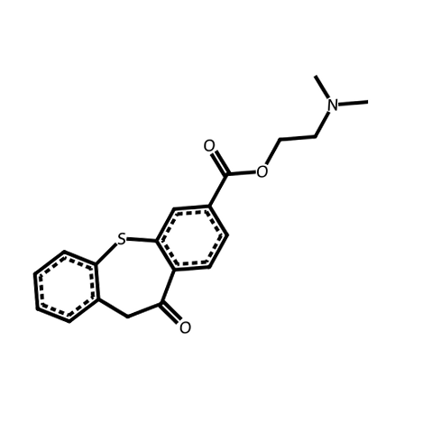 CN(C)CCOC(=O)c1ccc2c(c1)Sc1ccccc1CC2=O